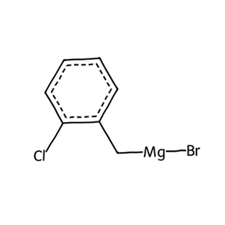 Clc1ccccc1[CH2][Mg][Br]